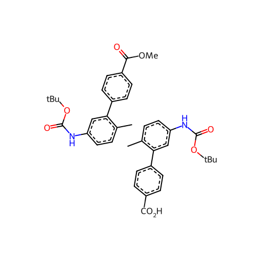 COC(=O)c1ccc(-c2cc(NC(=O)OC(C)(C)C)ccc2C)cc1.Cc1ccc(NC(=O)OC(C)(C)C)cc1-c1ccc(C(=O)O)cc1